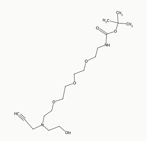 C#CCN(CCO)CCOCCOCCOCCNC(=O)OC(C)(C)C